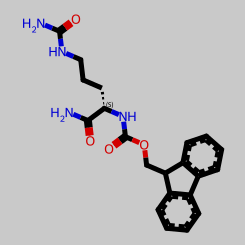 NC(=O)NCCC[C@H](NC(=O)OCC1c2ccccc2-c2ccccc21)C(N)=O